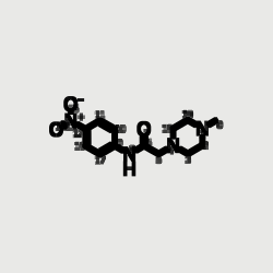 CN1CCN(CC(=O)Nc2ccc([N+](=O)[O-])cc2)CC1